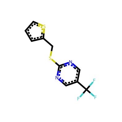 FC(F)(F)c1cnc(SCc2cccs2)nc1